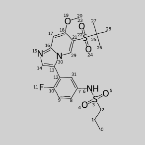 CCCS(=O)(=O)Nc1ccc(F)c(-c2cnc3cc(OC)c(S(=O)(=O)C(C)(C)C)cn23)c1